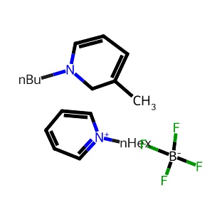 CCCCCC[n+]1ccccc1.CCCCN1C=CC=C(C)C1.F[B-](F)(F)F